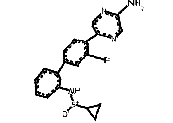 Nc1cnc(-c2ccc(-c3ccccc3N[S+]([O-])C3CC3)cc2F)cn1